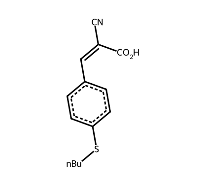 CCCCSc1ccc(C=C(C#N)C(=O)O)cc1